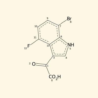 O=C(O)C(=O)c1c[nH]c2c(Br)ccc(F)c12